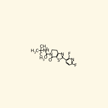 CC(C)(C)NC(=O)N1CCc2nc(-c3ccc(F)nc3F)sc2C1=O